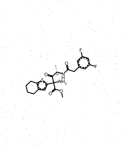 COC(=O)C(N)(C(=O)[C@H](C)NC(=O)Cc1cc(F)cc(F)c1)c1cc2c(s1)CCCC2